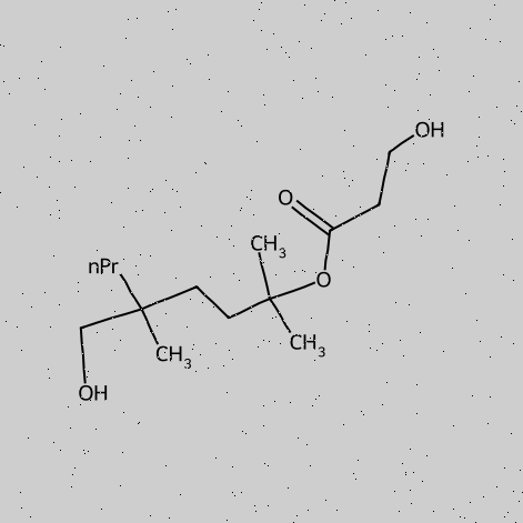 CCCC(C)(CO)CCC(C)(C)OC(=O)CCO